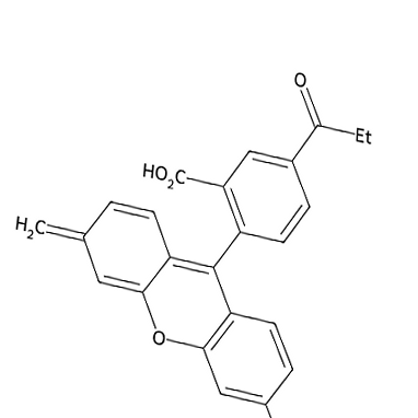 C=c1ccc2c(c1)Oc1cc(O)ccc1C=2c1ccc(C(=O)CC)cc1C(=O)O